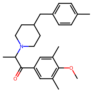 COc1c(C)cc(C(=O)C(C)N2CCC(Cc3ccc(C)cc3)CC2)cc1C